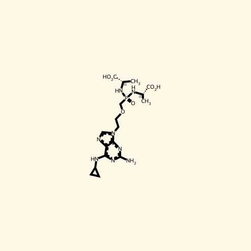 C[C@H](NP(=O)(COCCn1cnc2c(NC3CC3)nc(N)nc21)N[C@@H](C)C(=O)O)C(=O)O